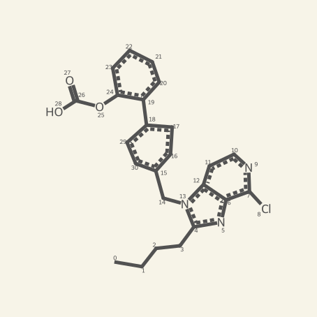 CCCCc1nc2c(Cl)nccc2n1Cc1ccc(-c2ccccc2OC(=O)O)cc1